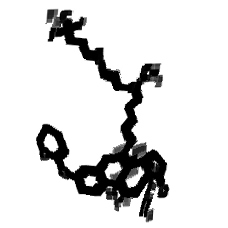 CN(CCCCC[C@@H]1Cc2cc(OC3CCCCO3)ccc2[C@@H]2[C@@H]1[C@@H]1CCC(=O)[C@@]1(C)C[C@@H]2F)CCCSCCCC(F)(F)C(F)(F)F